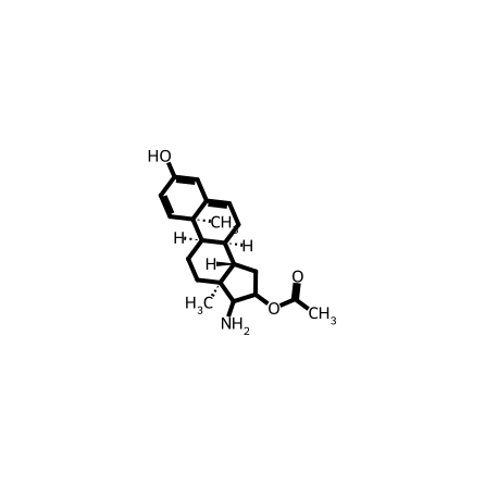 CC(=O)OC1C[C@H]2[C@@H]3CC=C4C=C(O)C=C[C@]4(C)[C@@H]3CC[C@]2(C)C1N